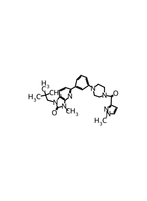 Cn1ccc(C(=O)N2CCN(c3cccc(-c4ccc5c(n4)n(C)c(=O)n5CC(C)(C)C)c3)CC2)n1